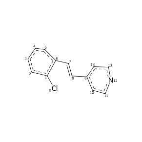 Clc1ccccc1C=Cc1ccncc1